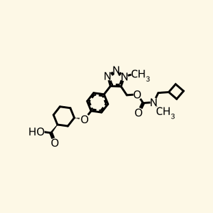 CN(CC1CCC1)C(=O)OCc1c(-c2ccc(O[C@H]3CCC[C@H](C(=O)O)C3)cc2)nnn1C